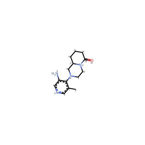 Cc1cncc(N)c1N1CCN2C(=O)CCCC2C1